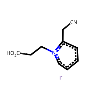 N#CCc1cccc[n+]1CCC(=O)O.[I-]